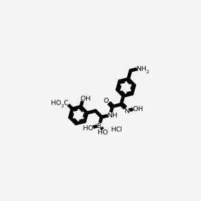 Cl.NCc1ccc(/C(=N\O)C(=O)NC(Cc2cccc(C(=O)O)c2O)B(O)O)cc1